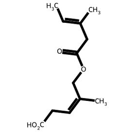 CC=C(C)CC(=O)OCC(C)=CCC(=O)O